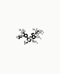 COC(=O)c1ccc(C2CN(CC(F)F)CCN2Cc2c(OC)cc(C)c3c2ccn3C(=O)OC(C)(C)C)cc1NCC1COC1